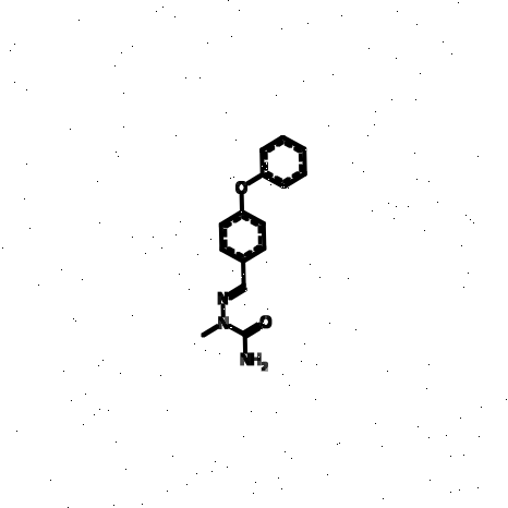 CN(N=Cc1ccc(Oc2ccccc2)cc1)C(N)=O